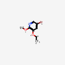 CCOc1ncc(Br)cc1OCC(F)(F)F